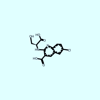 O=C(O)c1cc2cc(Cl)ccc2nc1N[C@@H](CO)C(=O)O